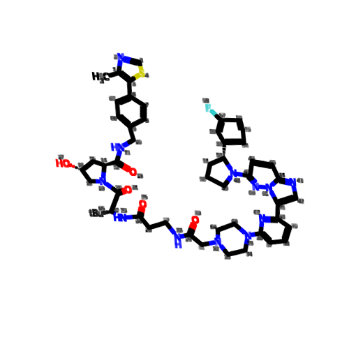 Cc1ncsc1-c1ccc(CNC(=O)[C@@H]2C[C@@H](O)CN2C(=O)[C@@H](NC(=O)CCNC(=O)CN2CCN(c3cccc(-c4cnc5ccc(N6CCC[C@@H]6c6cccc(F)c6)nn45)n3)CC2)C(C)(C)C)cc1